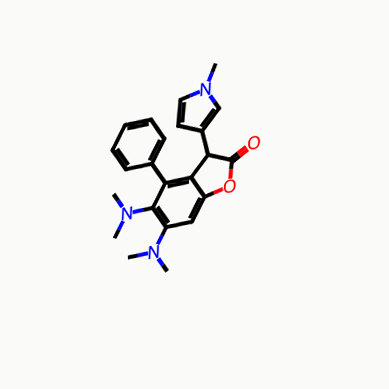 CN(C)c1cc2c(c(-c3ccccc3)c1N(C)C)C(c1ccn(C)c1)C(=O)O2